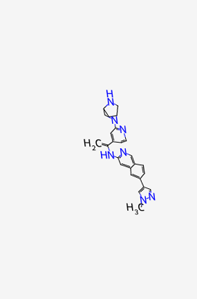 C=C(Nc1cc2cc(-c3cnn(C)c3)ccc2cn1)c1ccnc(N2CC3CC2CN3)c1